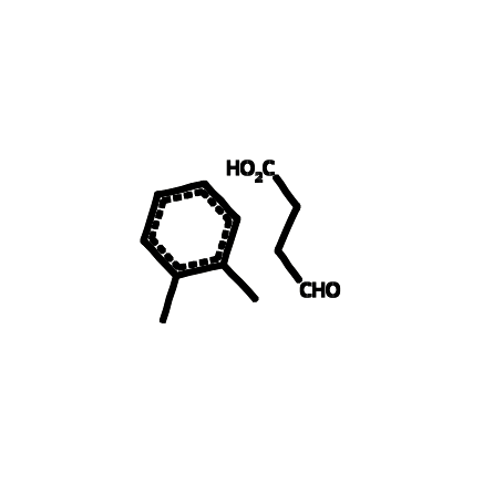 Cc1ccccc1C.O=CCCC(=O)O